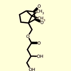 CC1(C)C2CCC1(COC(=O)CC(O)CO)C(=O)C2=O